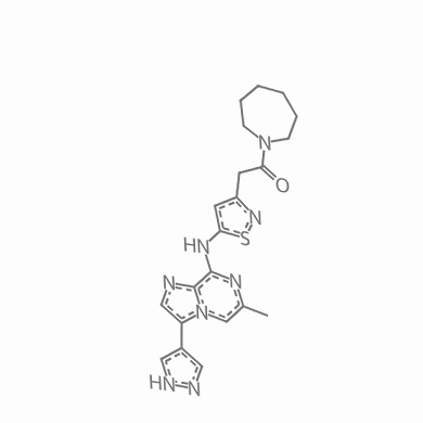 Cc1cn2c(-c3cn[nH]c3)cnc2c(Nc2cc(CC(=O)N3CCCCCC3)ns2)n1